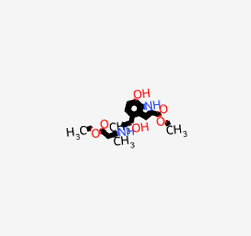 CCOC(=O)CC(C)(C)NCC(O)c1ccc(O)c2[nH]c(C(=O)OCC)cc12